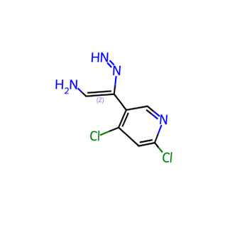 N=N/C(=C\N)c1cnc(Cl)cc1Cl